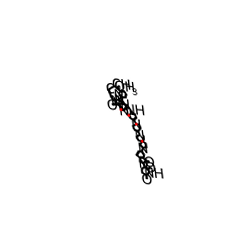 C[C@@]1(O)CC/C=C\Cn2c(=O)c3cnc(Nc4ccc(N5CCC(N6CCC7(CCN(c8ccc9c(c8)C(=O)N(C8CCC(=O)NC8=O)C9)C7)CC6)CC5)cc4)nc3n2-c2cccc1n2